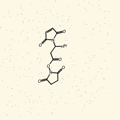 CCCC(CC(=O)ON1C(=O)CCC1=O)N1C(=O)C=CC1=O